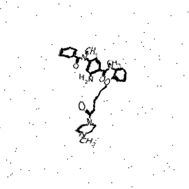 CN1CCN(C(=O)CCCCCOc2ccccc2N(C)C(=O)c2ccc(N(C)C(=O)c3ccccc3)cc2N)CC1